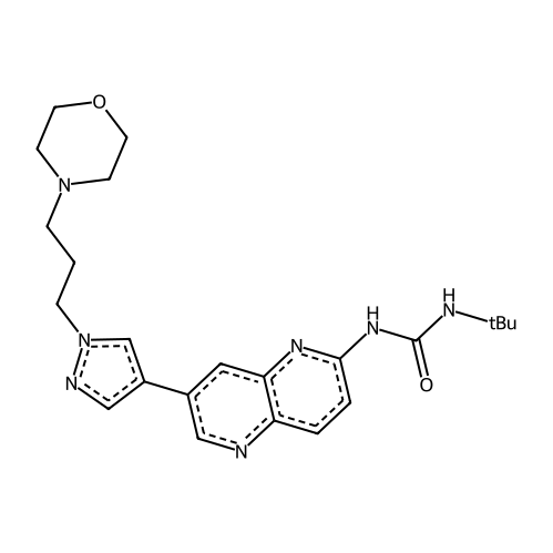 CC(C)(C)NC(=O)Nc1ccc2ncc(-c3cnn(CCCN4CCOCC4)c3)cc2n1